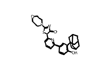 O=C1N=C(N2CCOCC2)SC1c1cccc(-c2ccc(O)c(C34CC5CC(CC(C5)C3)C4)c2)n1